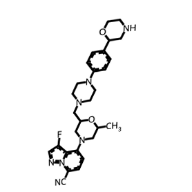 CC1CN(c2ccc(C#N)n3ncc(F)c23)CC(CN2CCN(c3ccc(C4CNCCO4)cc3)CC2)O1